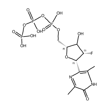 Cc1[nH]c(=O)c(C)nc1[C@@H]1O[C@H](COP(=O)(O)OP(=O)(O)OP(=O)(O)O)C(O)[C@@H]1F